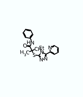 CCn1c(SC(C)(C)C(=O)Nc2ccccc2)nnc1-c1ccccn1